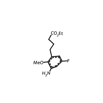 CCOC(=O)CCCc1cc(F)cc(N)c1OC